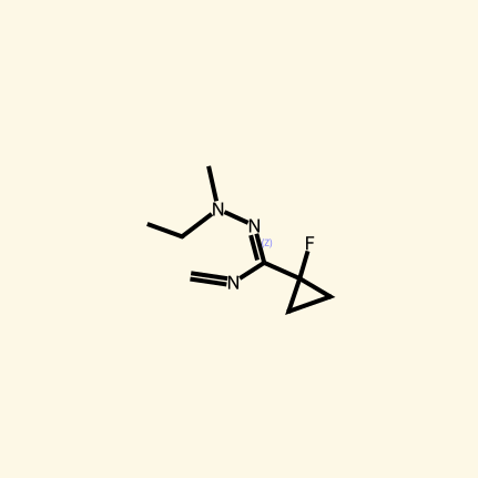 C=N/C(=N\N(C)CC)C1(F)CC1